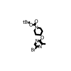 Cc1nc(Br)cnc1OC1CCN(C(=O)OC(C)(C)C)CC1